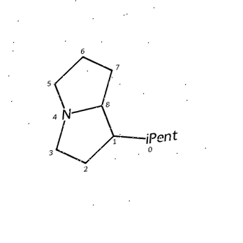 CCCC(C)C1CCN2CCCC12